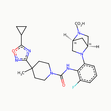 CC1(c2noc(C3CC3)n2)CCN(C(=O)Nc2c(F)cccc2N2C[C@@H]3C[C@H]2CN3C(=O)O)CC1